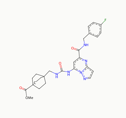 COC(=O)C12CCC(CNC(=O)Nc3cc(C(=O)NCc4ccc(F)cc4)nc4ccnn34)(CC1)CC2